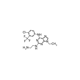 CCn1cnc2c(Nc3ccc(Cl)c(C(F)(F)F)c3)nc(NCCN)nc21